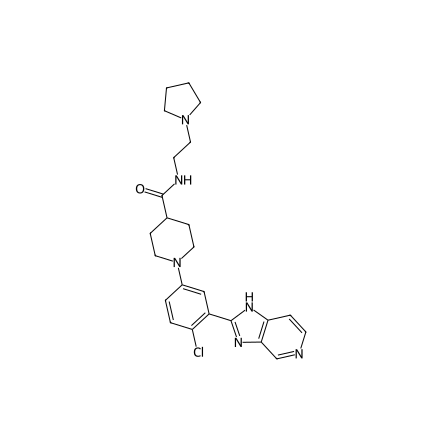 O=C(NCCN1CCCC1)C1CCN(c2ccc(Cl)c(-c3nc4cnccc4[nH]3)c2)CC1